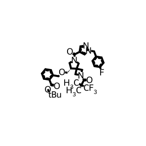 CC(C)(C)OC(=O)c1ccccc1COC[C@@H]1CN(C(=O)c2cnn(Cc3ccc(F)cc3)c2)CC12CN(C(=O)C(C)(C)C(F)(F)F)C2